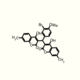 COc1ccc(C(c2c(O)c3ccc(C)cc3oc2=O)c2c(O)c3ccc(C)cc3oc2=O)cc1Br